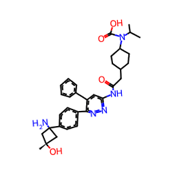 CC(C)N(C(=O)O)C1CCC(CC(=O)Nc2cc(-c3ccccc3)c(-c3ccc([C@]4(N)C[C@](C)(O)C4)cc3)nn2)CC1